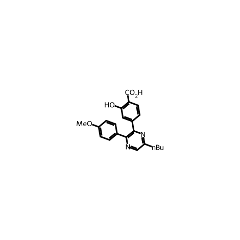 CCCCc1cnc(-c2ccc(OC)cc2)c(-c2ccc(C(=O)O)c(O)c2)n1